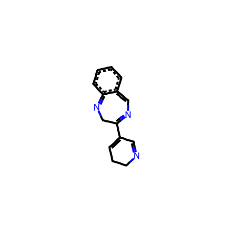 C1=NCCC=C1C1=NC=c2ccccc2=NC1